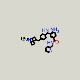 CC(C)(C)N1C2CCC23C(CC2=CC=C(C(=N)c4cc(C(=O)NCc5ccccn5)ccc4N)CC2)CC13